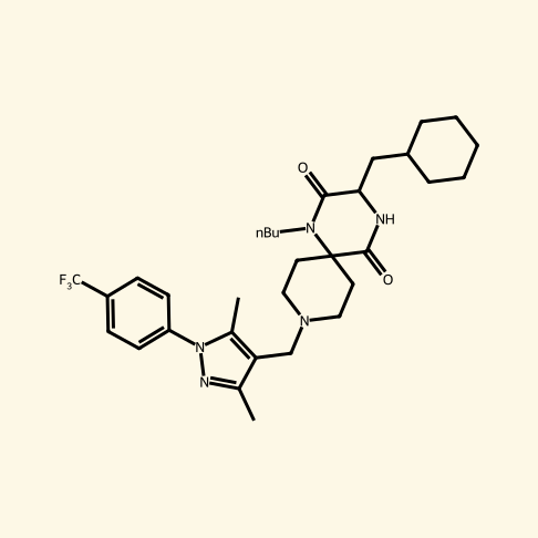 CCCCN1C(=O)C(CC2CCCCC2)NC(=O)C12CCN(Cc1c(C)nn(-c3ccc(C(F)(F)F)cc3)c1C)CC2